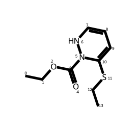 CCOC(=O)N1NC=CC=C1SCC